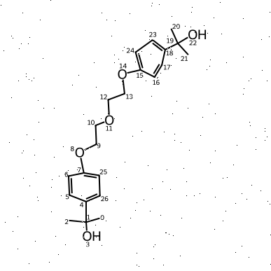 CC(C)(O)c1ccc(OCCOCCOc2ccc(C(C)(C)O)cc2)cc1